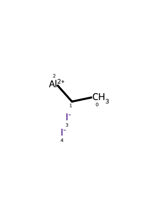 C[CH2][Al+2].[I-].[I-]